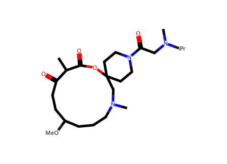 COC1CCCN(C)CC2(CCN(C(=O)CN(C)C(C)C)CC2)OC(=O)C(C)C(=O)CC1